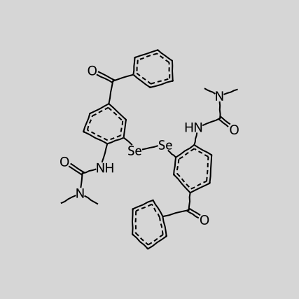 CN(C)C(=O)Nc1ccc(C(=O)c2ccccc2)cc1[Se][Se]c1cc(C(=O)c2ccccc2)ccc1NC(=O)N(C)C